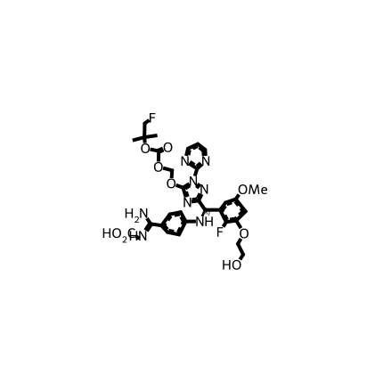 CC(=O)O.COc1cc(OCCO)c(F)c([C@@H](Nc2ccc(C(=N)N)cc2)c2nc(OCOC(=O)OC(C)(C)CF)n(-c3ncccn3)n2)c1